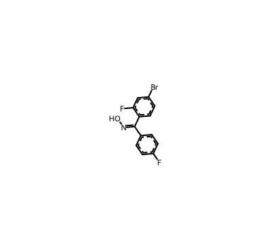 ON=C(c1ccc(F)cc1)c1ccc(Br)cc1F